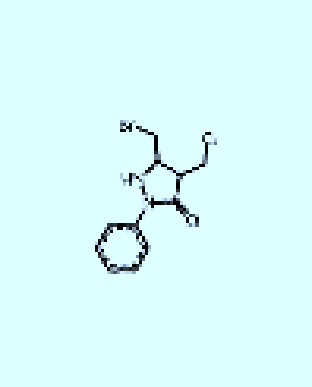 O=C1C(CCl)C(CBr)NN1c1ccccc1